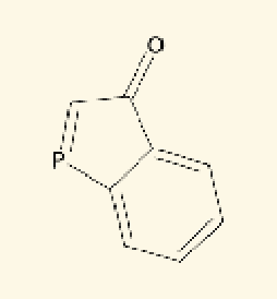 O=C1C=Pc2ccccc21